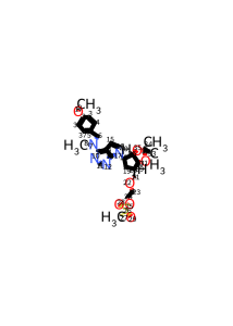 COc1ccc(CN(C)c2ncnc3c2ccn3[C@@H]2C[C@H](COCCOS(C)(=O)=O)[C@H]3OC(C)(C)O[C@H]32)cc1